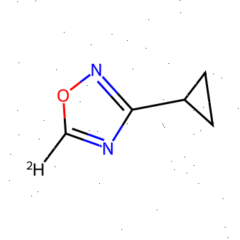 [2H]c1nc(C2CC2)no1